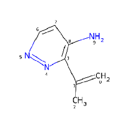 C=C(C)c1nnccc1N